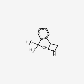 CC(C)(C)c1ccccc1C1CNC1